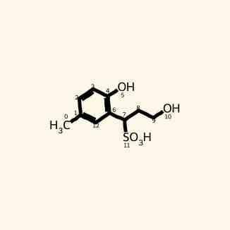 Cc1ccc(O)c(C(CCO)S(=O)(=O)O)c1